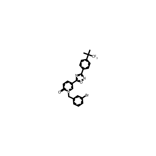 CC(C)(c1ccc(-c2noc(-c3ccc(=O)n(Cc4cccc(Br)c4)c3)n2)cc1)C(F)(F)F